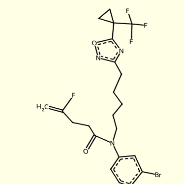 C=C(F)CCC(=O)N(CCCCCc1noc(C2(C(F)(F)F)CC2)n1)c1cccc(Br)c1